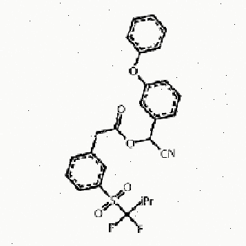 CC(C)C(F)(F)S(=O)(=O)c1cccc(CC(=O)OC(C#N)c2cccc(Oc3ccccc3)c2)c1